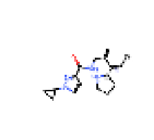 C=C(CNC(=O)c1ccn(C2CC2)n1)/C(=C\CC)[C@@H]1CCCN1